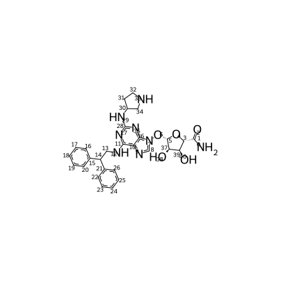 NC(=O)[C@H]1O[C@@H](On2cnc3c(NCC(c4ccccc4)c4ccccc4)nc(NC4CCNC4)nc32)[C@H](O)[C@@H]1O